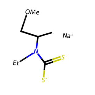 CCN(C(=S)[S-])C(C)COC.[Na+]